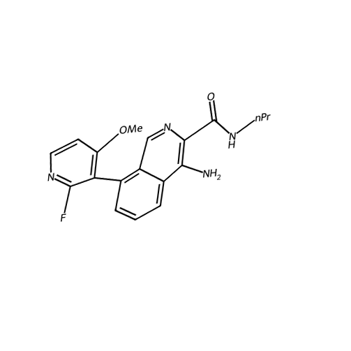 CCCNC(=O)c1ncc2c(-c3c(OC)ccnc3F)cccc2c1N